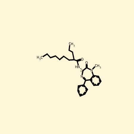 CCCCCCCC(CCC)C(=O)N[C@H]1N=C(c2ccccc2)c2ccccc2N(C)C1=O